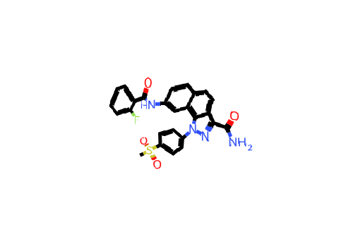 CS(=O)(=O)c1ccc(-n2nc(C(N)=O)c3ccc4ccc(NC(=O)c5ccccc5F)cc4c32)cc1